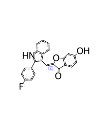 O=C1/C(=C/c2c(-c3ccc(F)cc3)[nH]c3ccccc23)Oc2cc(O)ccc21